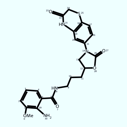 COc1cccc(C(=O)NCCCC2CN(c3ccc4c(c3)NC(=O)CS4)C(=O)O2)c1N